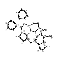 CC(=O)N1CCN([C@@H](c2ccccc2)[C@@H](c2ccccc2)n2cc(Cn3cnc(N)c4ncnc3-4)nn2)CC1